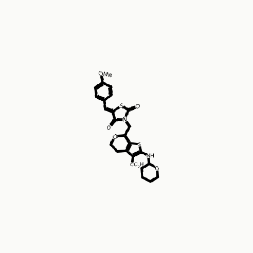 COc1ccc(C=C2SC(=O)N(CC3OCCc4c3sc(NC3CCCCO3)c4C(=O)O)C2=O)cc1